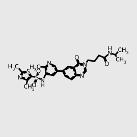 Cc1nc(C)c(S(=O)(=O)Nc2cc(-c3ccc4ncn(CCCC(=O)NC(C)C)c(=O)c4c3)cnc2C)s1